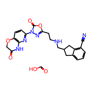 N#Cc1cccc2c1CC(CNCCc1nn(-c3ccc4c(n3)NC(=O)CO4)c(=O)o1)C2.O=CO